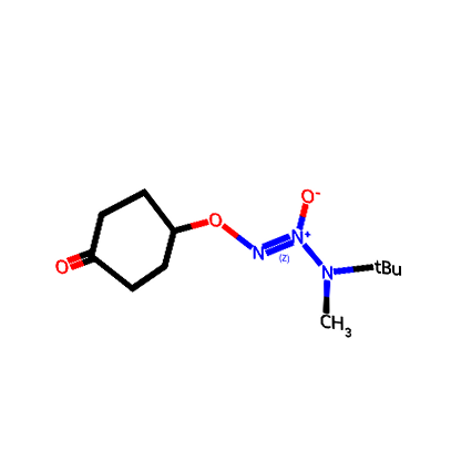 CN(/[N+]([O-])=N/OC1CCC(=O)CC1)C(C)(C)C